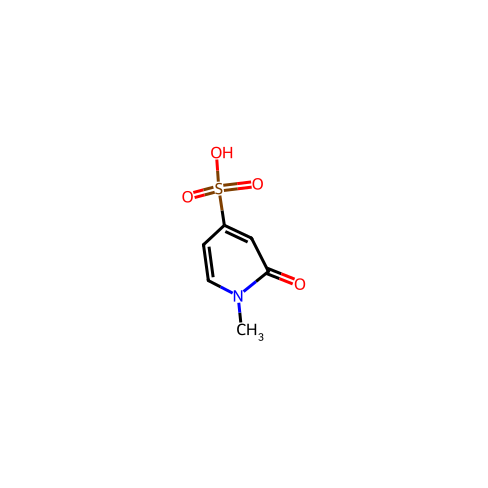 Cn1ccc(S(=O)(=O)O)cc1=O